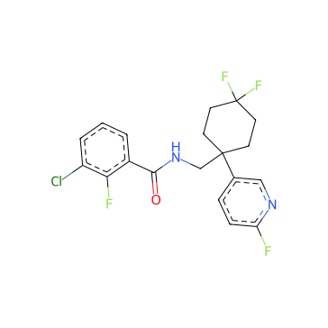 O=C(NCC1(c2ccc(F)nc2)CCC(F)(F)CC1)c1cccc(Cl)c1F